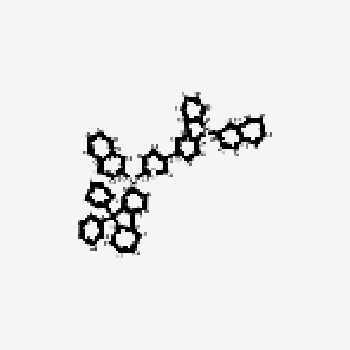 c1ccc(C2(c3ccccc3)c3ccccc3-c3ccc(N(c4ccc(-c5ccc6c(c5)c5ccccc5n6-c5ccc6ccccc6c5)cc4)c4ccc5ccccc5c4)cc32)cc1